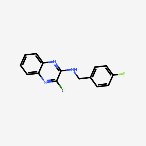 Fc1ccc(CNc2nc3ccccc3nc2Cl)cc1